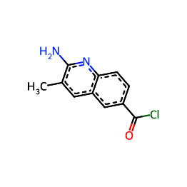 Cc1cc2cc(C(=O)Cl)ccc2nc1N